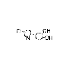 Oc1ccc(-c2ccc(Cl)cn2)cc1O